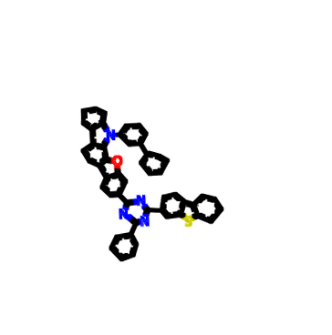 c1ccc(-c2cccc(-n3c4ccccc4c4ccc5c6ccc(-c7nc(-c8ccccc8)nc(-c8ccc9c(c8)sc8ccccc89)n7)cc6oc5c43)c2)cc1